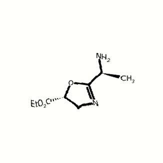 CCOC(=O)[C@H]1CN=C([C@H](C)N)O1